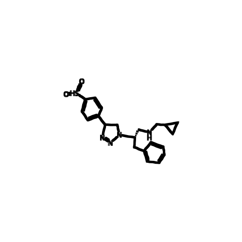 O=[SH](=O)c1ccc(C2CN([C@H](CNCC3CC3)Cc3ccccc3)N=N2)cc1